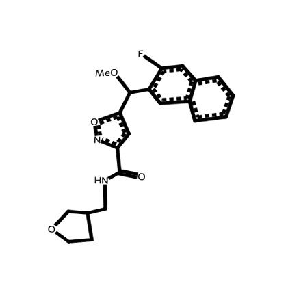 COC(c1cc(C(=O)NCC2CCOC2)no1)c1cc2ccccc2cc1F